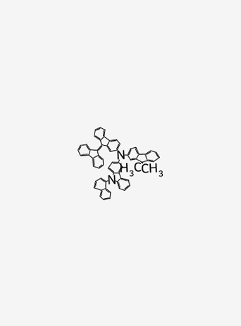 CC1(C)c2ccccc2-c2ccc(N(c3ccc4c(c3)C(=C3c5ccccc5-c5ccccc53)c3ccccc3-4)c3ccc4c(c3)c3ccccc3n4-c3cccc4ccccc34)cc21